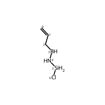 C=CCBN[SiH2]Cl